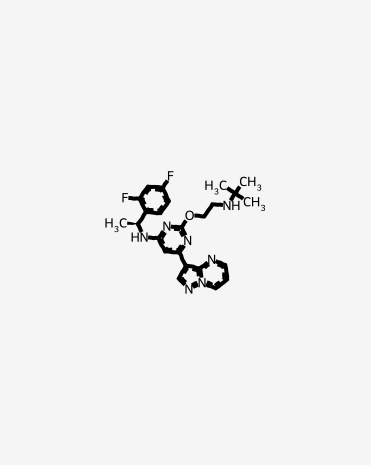 C[C@H](Nc1cc(-c2cnn3cccnc23)nc(OCCNC(C)(C)C)n1)c1ccc(F)cc1F